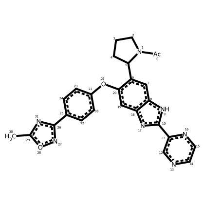 CC(=O)N1CCCC1c1cc2[nH]c(-c3cnccn3)nc2cc1Oc1ccc(-c2noc(C)n2)cc1